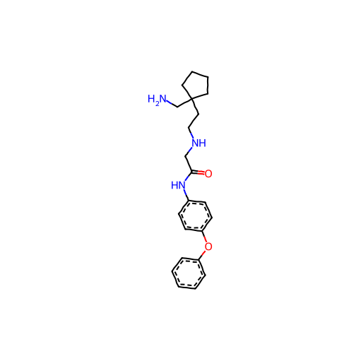 NCC1(CCNCC(=O)Nc2ccc(Oc3ccccc3)cc2)CCCC1